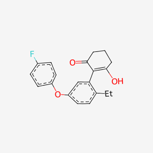 CCc1ccc(Oc2ccc(F)cc2)cc1C1=C(O)CCCC1=O